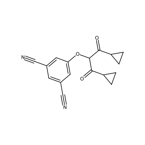 N#Cc1cc(C#N)cc(OC(C(=O)C2CC2)C(=O)C2CC2)c1